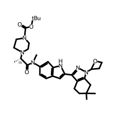 C[C@@H](C(=O)N(C)c1ccc2cc(-c3nn(C4CCO4)c4c3CCC(C)(C)C4)[nH]c2c1)N1CCN(C(=O)OC(C)(C)C)CC1